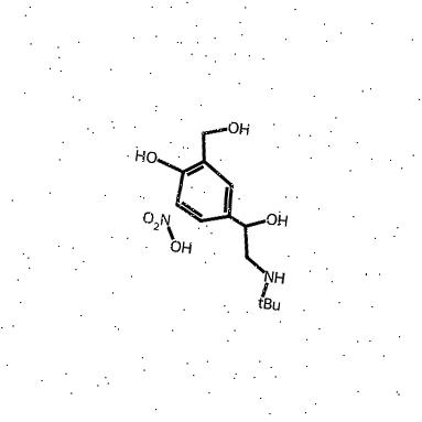 CC(C)(C)NCC(O)c1ccc(O)c(CO)c1.O=[N+]([O-])O